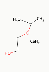 CC(C)OCCO.[CaH2]